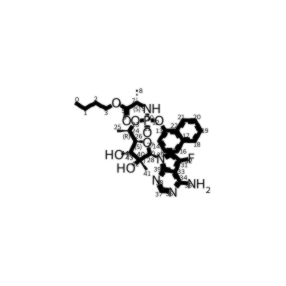 CCCCOC(=O)[C@H](C)NP(=O)(Oc1cccc2ccccc12)O[C@H](C)[C@H]1O[C@@H](n2cc(F)c3c(N)ncnc32)[C@](C)(O)[C@@H]1O